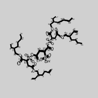 CCCCC(CC)COC(=O)CC(C(=O)OCC(CC)CCCC)S(=O)(=O)OC(=O)CC(C(=O)OS(=O)(=O)C(CC(=O)OCC(CC)CCCC)C(=O)OCC(CC)CCCC)S(=O)(=O)O